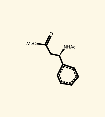 COC(=O)C[C@@H](NC(C)=O)c1ccccc1